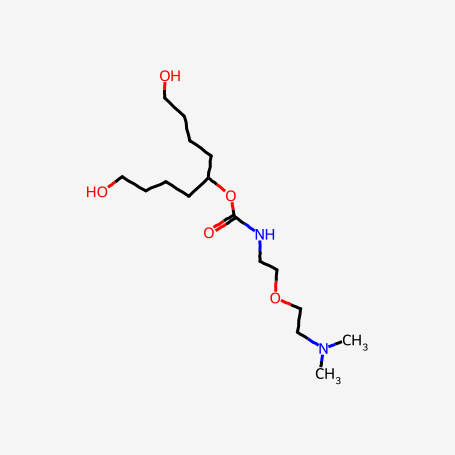 CN(C)CCOCCNC(=O)OC(CCCCO)CCCCO